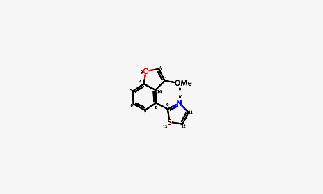 COc1[c]oc2cccc(-c3nccs3)c12